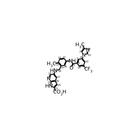 Cc1cn(-c2cc(C(=O)Nc3ccc(C)c(CNc4cnc5[nH]c(C(=O)O)cc5c4)c3)cc(C(F)(F)F)c2)cn1